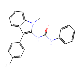 CC(C)c1ccc(-c2c(NC(=O)Nc3ccccc3)n(C)c3ccccc23)cc1